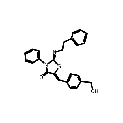 O=C1C(=Cc2ccc(CO)cc2)SC(=NCCc2ccccc2)N1c1ccccc1